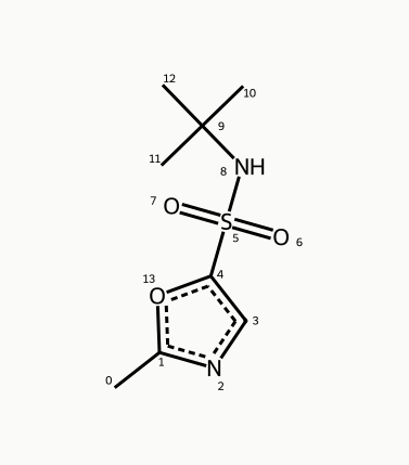 Cc1ncc(S(=O)(=O)NC(C)(C)C)o1